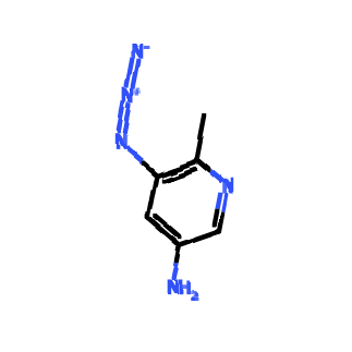 Cc1ncc(N)cc1N=[N+]=[N-]